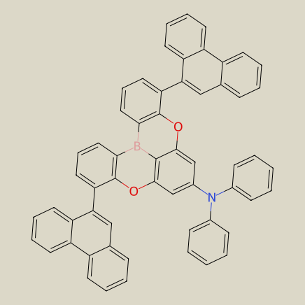 c1ccc(N(c2ccccc2)c2cc3c4c(c2)Oc2c(cccc2-c2cc5ccccc5c5ccccc25)B4c2cccc(-c4cc5ccccc5c5ccccc45)c2O3)cc1